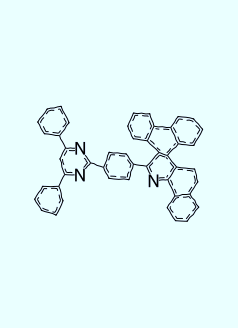 c1ccc(-c2cc(-c3ccccc3)nc(-c3ccc(-c4nc5c6ccccc6ccc5c5c6ccccc6c6ccccc6c45)cc3)n2)cc1